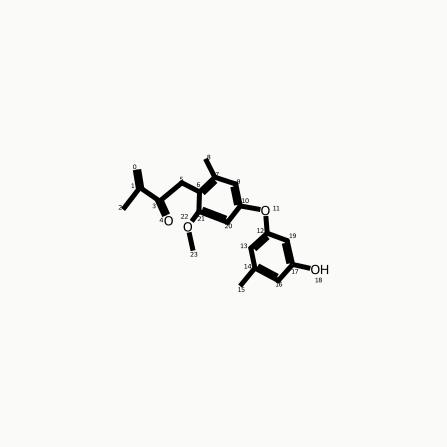 C=C(C)C(=O)Cc1c(C)cc(Oc2cc(C)cc(O)c2)cc1OC